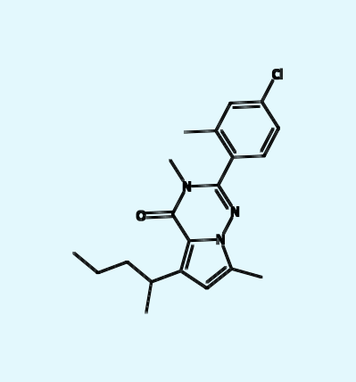 CCCC(C)c1cc(C)n2nc(-c3ccc(Cl)cc3C)n(C)c(=O)c12